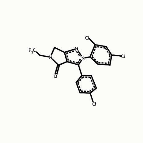 O=C1c2c(nn(-c3ccc(Cl)cc3Cl)c2-c2ccc(Cl)cc2)CN1CC(F)(F)F